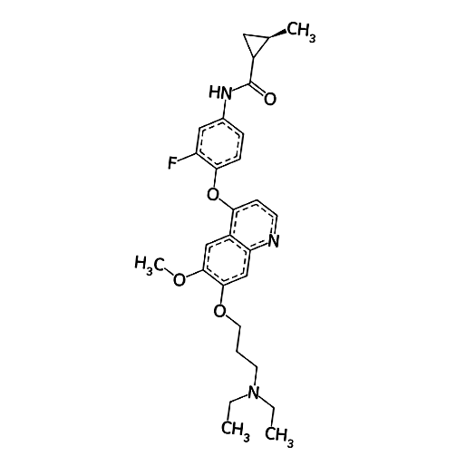 CCN(CC)CCCOc1cc2nccc(Oc3ccc(NC(=O)C4C[C@H]4C)cc3F)c2cc1OC